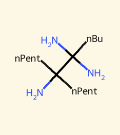 CCCCCC(N)(CCCCC)C(N)(N)CCCC